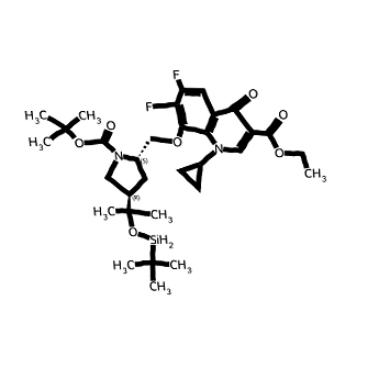 CCOC(=O)c1cn(C2CC2)c2c(OC[C@@H]3C[C@@H](C(C)(C)O[SiH2]C(C)(C)C)CN3C(=O)OC(C)(C)C)c(F)c(F)cc2c1=O